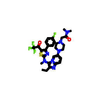 CCc1nc2ccc(N3CCN(CC(=O)N(C)C)CC3)cn2c1N(C)c1nc(-c2ccc(F)cc2)c(C(=O)C(F)(F)F)s1